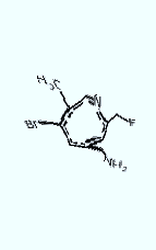 Cc1nc(F)c(N)cc1Br